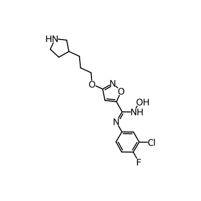 ONC(=Nc1ccc(F)c(Cl)c1)c1cc(OCCCC2CCNC2)no1